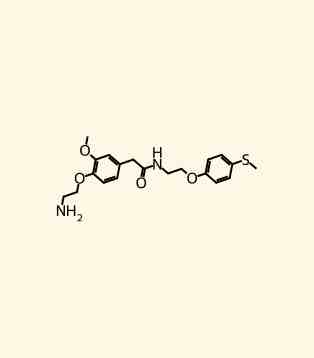 COc1cc(CC(=O)NCCOc2ccc(SC)cc2)ccc1OCCN